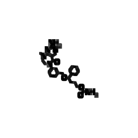 CN1CCN(c2cccc(COC(CCCOC(N)=O)c3ccccc3)c2)C(=O)c2cnc(N)nc21